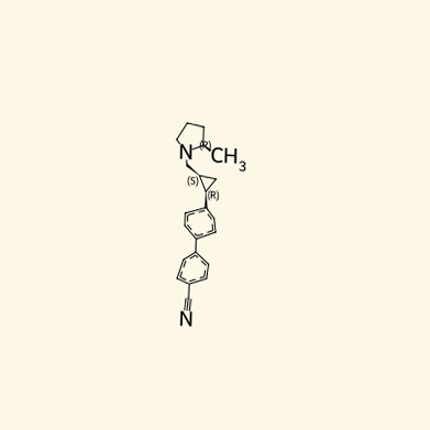 C[C@@H]1CCCN1C[C@H]1C[C@H]1c1ccc(-c2ccc(C#N)cc2)cc1